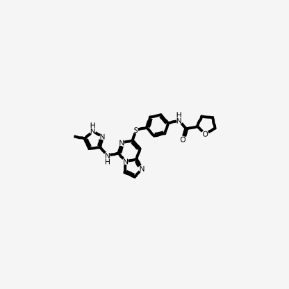 Cc1cc(Nc2nc(Sc3ccc(NC(=O)C4CCCO4)cc3)cc3nccn23)n[nH]1